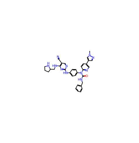 Cn1cc(-c2ccc(N(C(=O)NCc3ccccc3)c3ccc(Nc4ncc(C#N)c(NCC5CCCN5)n4)cc3)nc2)cn1